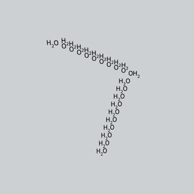 O.O.O.O.O.O.O.O.O.O.O.O.O.O.O.O.O.O.O.O.O